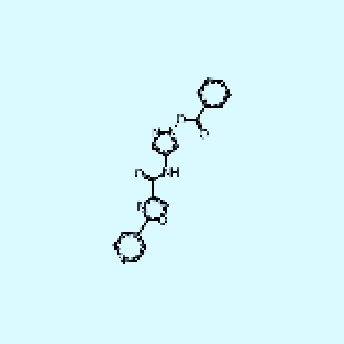 O=C(On1cc(NC(=O)c2coc(-c3ccncc3)n2)cn1)c1ccccc1